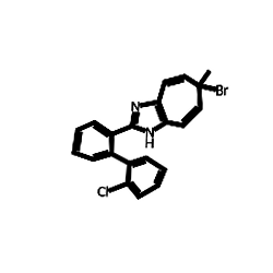 CC1(Br)C=Cc2nc(-c3ccccc3-c3ccccc3Cl)[nH]c2C=C1